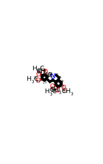 COc1cc(CC2c3c(cc(OC)c(OC)c3OC)CCN2C)cc(OC)c1OC